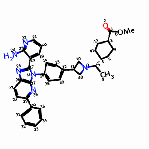 COC(=O)[C@H]1CC[C@H](C(C)N2CC(c3ccc(-n4c(-c5cccnc5N)nc5ccc(-c6ccccc6)nc54)cc3)C2)CC1